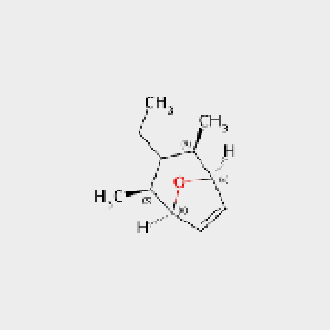 CCC1[C@@H](C)[C@H]2C=C[C@H](O2)[C@H]1C